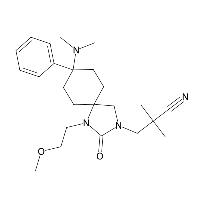 COCCN1C(=O)N(CC(C)(C)C#N)CC12CCC(c1ccccc1)(N(C)C)CC2